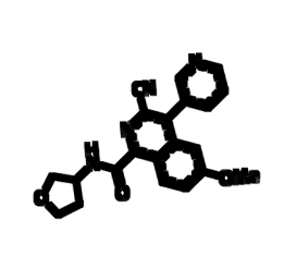 COc1ccc2c(C(=O)NC3CCOC3)nc(C#N)c(-c3cccnc3)c2c1